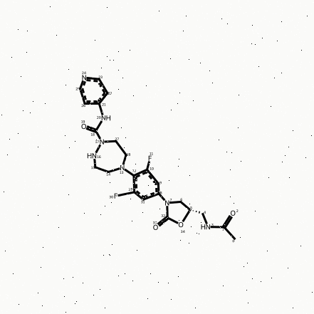 CC(=O)NC[C@H]1CN(c2cc(F)c(N3CCNN(C(=O)Nc4ccncc4)CC3)c(F)c2)C(=O)O1